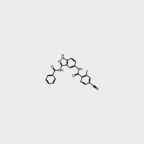 Cc1cc(C#N)cnc1C(=O)Nc1ccc2[nH]nc(NC(=O)c3ccccc3)c2c1